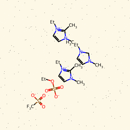 CCN1C=CN(C)C1.CCOS(=O)(=O)[O-].CC[n+]1ccn(C)c1C.CC[n+]1ccn(C)c1C.O=S(=O)([O-])C(F)(F)F